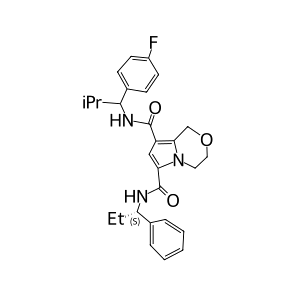 CC[C@H](NC(=O)c1cc(C(=O)NC(c2ccc(F)cc2)C(C)C)c2n1CCOC2)c1ccccc1